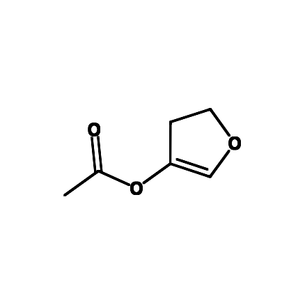 CC(=O)OC1=COCC1